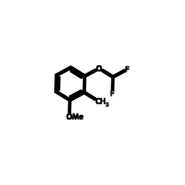 COc1cccc(OC(F)F)c1C